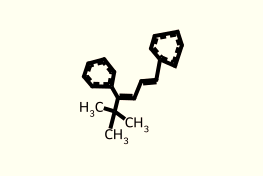 CC(C)(C)C(=CC=Cc1ccccc1)c1ccccc1